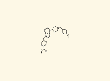 COC(=O)c1ccc(Cn2ccc3c(C4CCN(Cc5ccc(OC)cc5)CC4)ccnc32)cc1